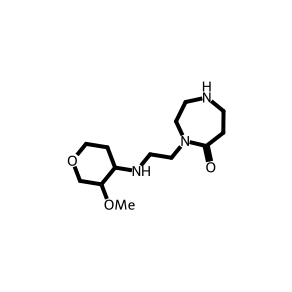 COC1COCCC1NCCN1CCNCCC1=O